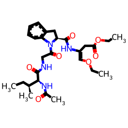 CCO/C=C(\CC(=O)OCC)NC(=O)[C@@H]1Cc2ccccc2N1C(=O)CNC(=O)[C@@H](NC(C)=O)[C@@H](C)CC